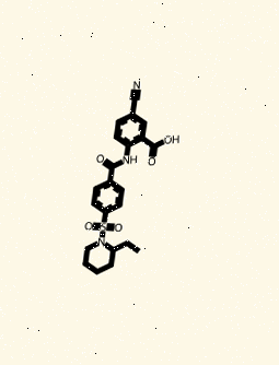 CCC1CCCCN1S(=O)(=O)c1ccc(C(=O)Nc2ccc(C#N)cc2C(=O)O)cc1